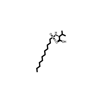 CCCCCCCCCCCCS(=O)(=O)N[C@H](C(=O)O)C(C)C